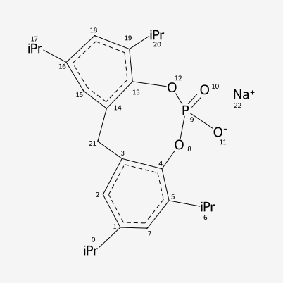 CC(C)c1cc2c(c(C(C)C)c1)OP(=O)([O-])Oc1c(cc(C(C)C)cc1C(C)C)C2.[Na+]